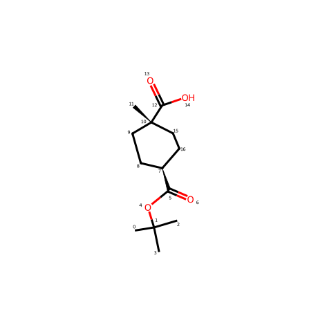 CC(C)(C)OC(=O)[C@H]1CC[C@](C)(C(=O)O)CC1